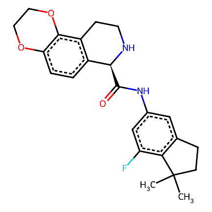 CC1(C)CCc2cc(NC(=O)[C@@H]3NCCc4c3ccc3c4OCCO3)cc(F)c21